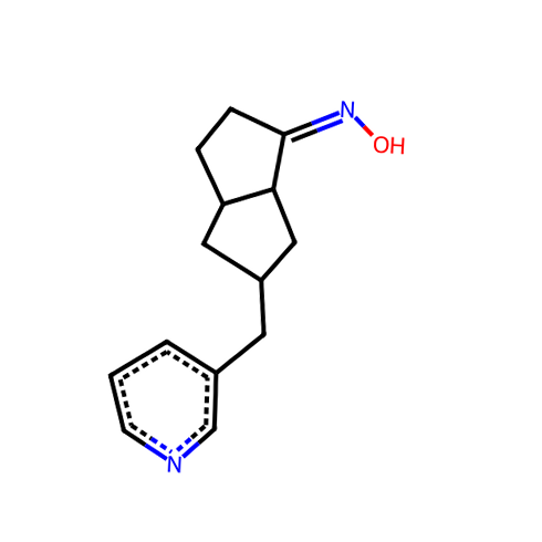 ON=C1CCC2CC(Cc3cccnc3)CC12